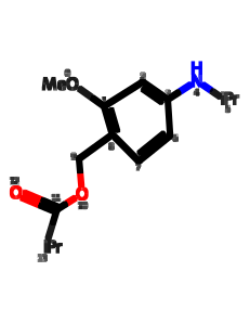 COc1cc(NC(C)C)ccc1COC(=O)C(C)C